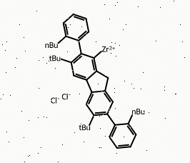 CCCCc1ccccc1-c1cc2c(cc1C(C)(C)C)-c1cc(C(C)(C)C)c(-c3ccccc3CCCC)[c]([Zr+2])c1C2.[Cl-].[Cl-]